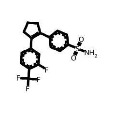 NS(=O)(=O)c1ccc(C2=C(c3ccc(C(F)(F)F)c(F)c3)CCC2)cc1